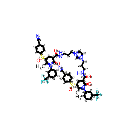 Cc1c([S+]([O-])c2ccc(C#N)cc2)cc(C(=O)NCCCn2cc[n+](CCCNC(=O)c3cc([S+]([O-])c4ccc(C#N)cc4)c(C)n(-c4cccc(C(F)(F)F)c4)c3=O)c2)c(=O)n1-c1cccc(C(F)(F)F)c1